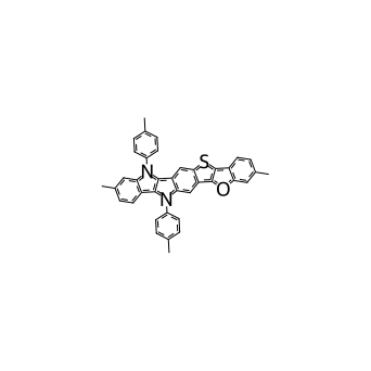 Cc1ccc(-n2c3cc(C)ccc3c3c2c2cc4sc5c6ccc(C)cc6oc5c4cc2n3-c2ccc(C)cc2)cc1